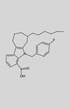 CCCCCCC1CCCc2c(n(Cc3ccc(F)cc3)c3c(C(=O)O)cccc23)C1